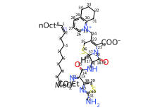 CCCCCCCC/C=C\CCCCCCCC(=O)OCC.CO/N=C(/C(=O)N[C@@H]1C(=O)N2C(C(=O)[O-])=C(C[n+]3cccc4c3CCCC4)CS[C@H]12)c1csc(N)n1